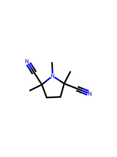 CN1C(C)(C#N)CCC1(C)C#N